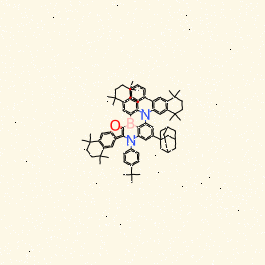 CC(C)(C)c1ccc(N2c3cc(C45CC6CC(CC(C6)C4)C5)cc4c3B(c3cc5c(cc3N4c3cc4c(cc3-c3ccccc3)C(C)(C)CCC4(C)C)C(C)(C)CCC5(C)C)c3oc4cc5c(cc4c32)C(C)(C)CCC5(C)C)cc1